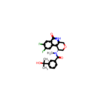 CN(C(=O)c1cccc(C(C)(C)O)c1)[C@H]1COCc2[nH]c(=O)c3cc(F)c(F)cc3c21